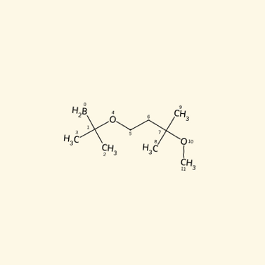 BC(C)(C)OCCC(C)(C)OC